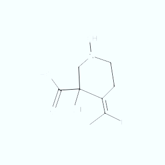 CN1CCC(=C(F)F)C(C)(C(=O)O)C1